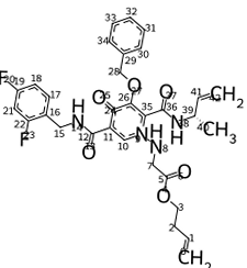 C=CCCOC(=O)CNn1cc(C(=O)NCc2ccc(F)cc2F)c(=O)c(OCc2ccccc2)c1C(=O)N[C@@H](C)C=C